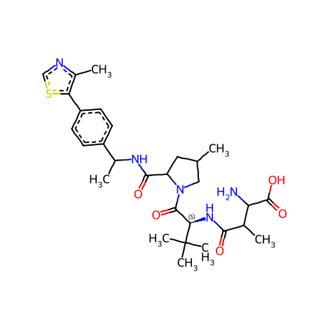 Cc1ncsc1-c1ccc(C(C)NC(=O)C2CC(C)CN2C(=O)[C@@H](NC(=O)C(C)C(N)C(=O)O)C(C)(C)C)cc1